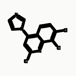 Clc1cc(-n2ccnc2)c2ccc(Cl)c(Cl)c2n1